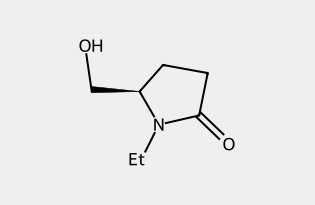 CCN1C(=O)CC[C@@H]1CO